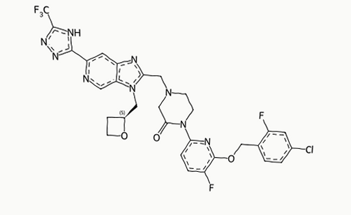 O=C1CN(Cc2nc3cc(-c4nnc(C(F)(F)F)[nH]4)ncc3n2C[C@@H]2CCO2)CCN1c1ccc(F)c(OCc2ccc(Cl)cc2F)n1